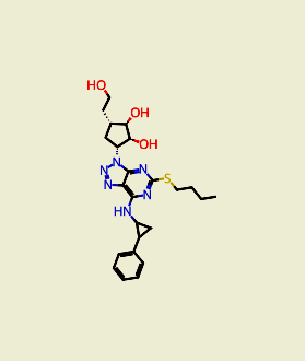 CCCCSc1nc(NC2CC2c2ccccc2)c2nnn([C@@H]3C[C@H](CCO)[C@@H](O)[C@H]3O)c2n1